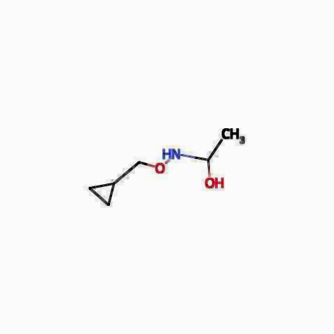 CC(O)NOCC1CC1